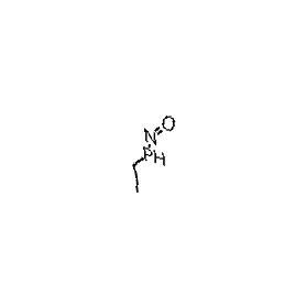 CCPN=O